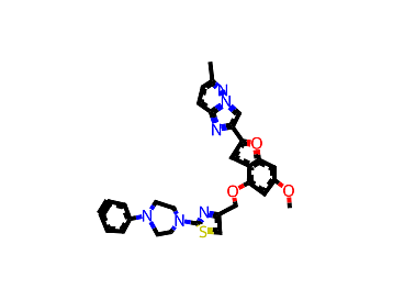 COc1cc(OCc2csc(N3CCN(c4cc#ccc4)CC3)n2)c2cc(-c3cn4nc(C)ccc4n3)oc2c1